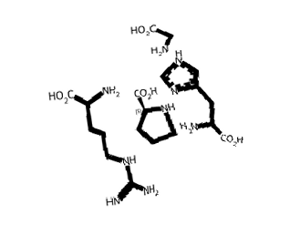 N=C(N)NCCCC(N)C(=O)O.NC(Cc1c[nH]cn1)C(=O)O.NCC(=O)O.O=C(O)[C@@H]1CCCN1